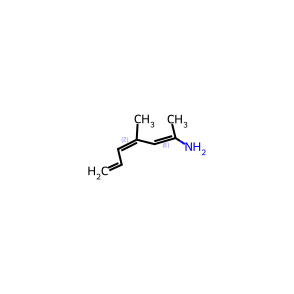 C=C/C=C(C)\C=C(/C)N